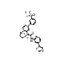 CS(=O)(=O)c1cccc(-c2ccc3c(n2)N(C(=O)Nc2cc(-c4cnco4)ccn2)[C@H]2CCN3C2)c1